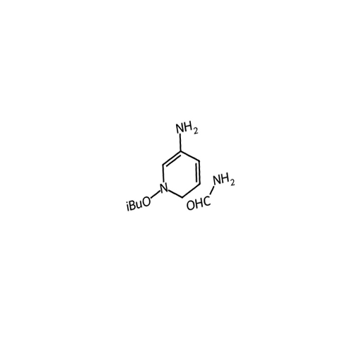 CC(C)CON1C=C(N)C=CC1.NC=O